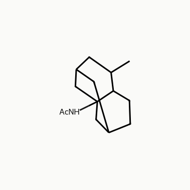 CC(=O)NC12CC3CCC1C(C)CC(C3)C2